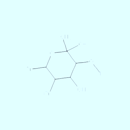 CC(C)C1OC(C)(C)C(OI)C(O)C1C(C)C